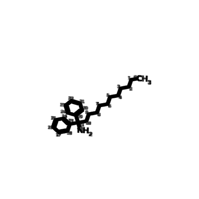 CCCCCCCCCCCC(N)(c1ccccc1)c1ccccc1